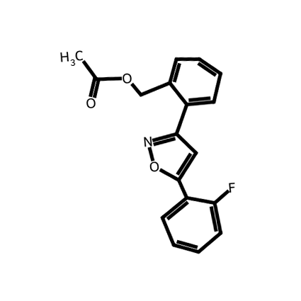 CC(=O)OCc1ccccc1-c1cc(-c2ccccc2F)on1